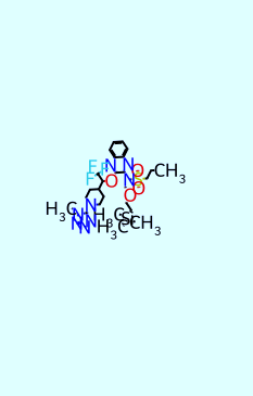 CCCS(=O)(=O)N(COCC[Si](C)(C)C)c1nc2ccccc2nc1OC(C1CCN(c2nnnn2C)CC1)C(F)(F)F